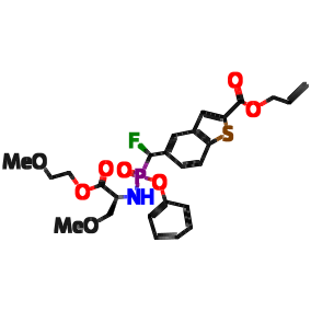 C=CCOC(=O)c1cc2cc([C@H](F)P(=O)(N[C@@H](COC)C(=O)OCCOC)Oc3ccccc3)ccc2s1